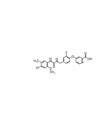 COc1cc(Cl)c(C)cc1NC(=O)NCc1ccc(Oc2ccnc(C(=O)O)c2)c(F)c1